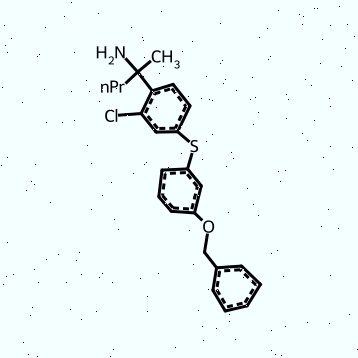 CCCC(C)(N)c1ccc(Sc2cccc(OCc3ccccc3)c2)cc1Cl